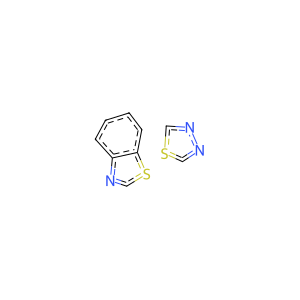 c1ccc2scnc2c1.c1nncs1